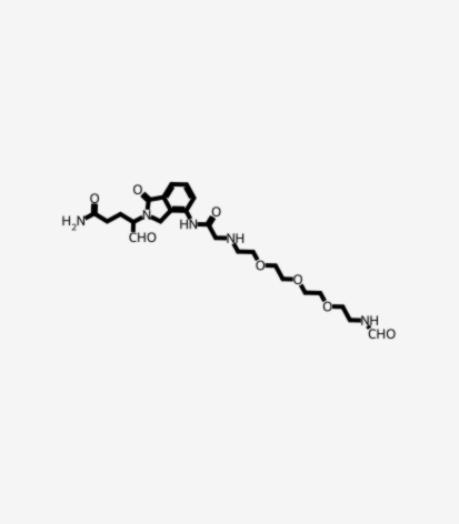 NC(=O)CCC(C=O)N1Cc2c(NC(=O)CNCCOCCOCCOCCNC=O)cccc2C1=O